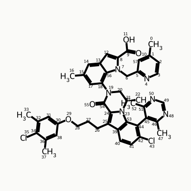 Cc1ccnc(Cn2c(C(=O)O)cc3cc(C)cc(N4C[C@@H](C)n5c(c(CCCOc6cc(C)c(Cl)c(C)c6)c6ccc(Cl)c(-c7c(C)ncnc7C)c65)C4=O)c32)c1